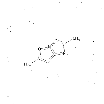 Cc1cn2oc(C)cc2n1